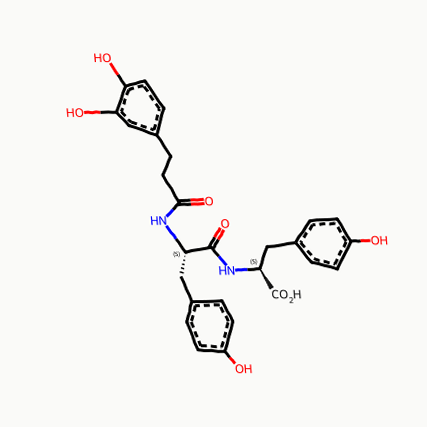 O=C(CCc1ccc(O)c(O)c1)N[C@@H](Cc1ccc(O)cc1)C(=O)N[C@@H](Cc1ccc(O)cc1)C(=O)O